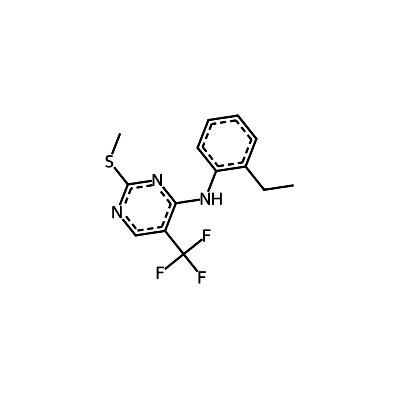 CCc1ccccc1Nc1nc(SC)ncc1C(F)(F)F